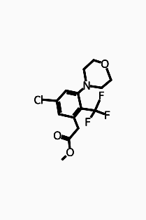 COC(=O)Cc1cc(Cl)cc(N2CCOCC2)c1C(F)(F)F